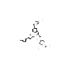 CC(C)N1CCC(NC(=O)c2cc3cc(C(=O)N4CC(O)C4)ccc3n2Cc2cc(-c3ccc(Cl)s3)on2)CC1